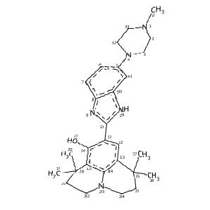 CN1CCN(c2ccc3nc(-c4cc5c6c(c4O)C(C)(C)CCN6CCC5(C)C)[nH]c3c2)CC1